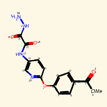 COC(=O)c1ccc(Oc2ccc(NC(=O)C(=O)NN)cn2)cc1